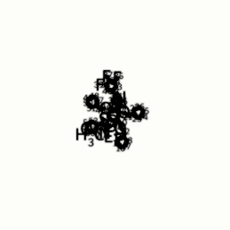 CCN(C)C(=O)C(S[C@@H]1O[C@H](COCc2ccccc2)[C@H](OCc2ccccc2)[C@H](n2cc(-c3cc(F)c(F)c(F)c3)nn2)[C@H]1OCc1ccccc1)C1CCOCC1